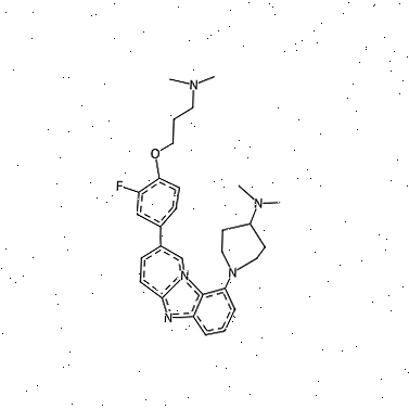 CN(C)CCCOc1ccc(-c2ccc3nc4cccc(N5CCC(N(C)C)CC5)c4n3c2)cc1F